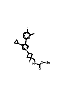 Cc1nc(-c2cn(C3CC(F)(CNC(=O)OC(C)(C)C)C3)nc2C2CC2)ccc1F